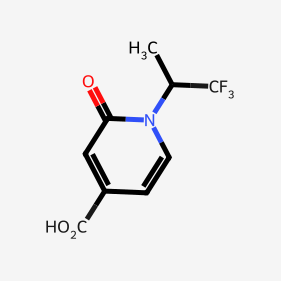 CC(n1ccc(C(=O)O)cc1=O)C(F)(F)F